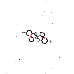 Fc1ccc([O][Zr]([O]c2ccc(F)cc2)([C]2=CC=CC2)[C]2=CC=CC2)cc1